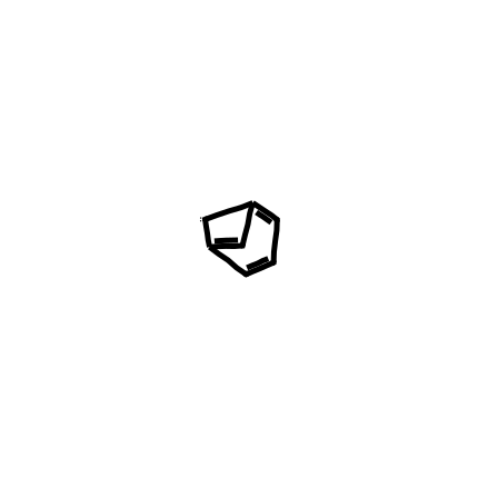 [C]1c2cccc1c2